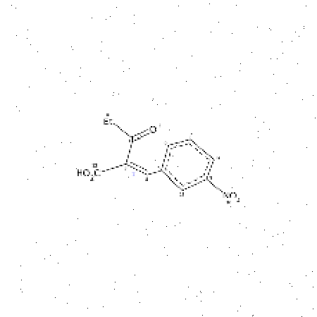 CCC(=O)/C(=C\c1cccc([N+](=O)[O-])c1)C(=O)O